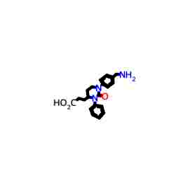 NCc1ccc(N2CCC(CCC(=O)O)N(c3ccccc3)C2=O)cc1